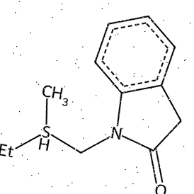 CC[SH](C)CN1C(=O)Cc2ccccc21